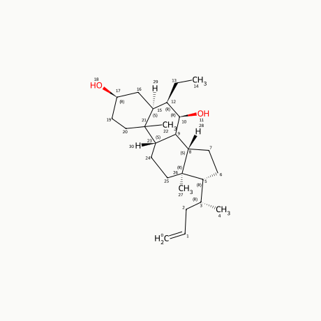 C=CC[C@@H](C)[C@H]1CC[C@H]2C3[C@H](O)[C@H](CC)[C@@H]4C[C@H](O)CCC4(C)[C@H]3CC[C@]12C